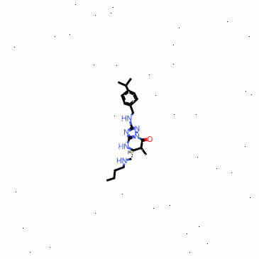 CCCCNC[C@@H]1Nc2nc(NCc3ccc(C(C)C)cc3)nn2C(=O)C1C